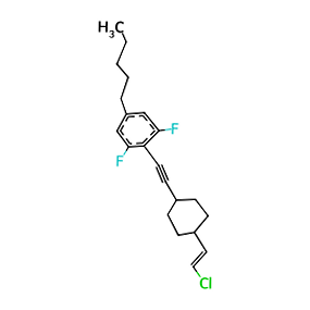 CCCCCc1cc(F)c(C#CC2CCC(/C=C/Cl)CC2)c(F)c1